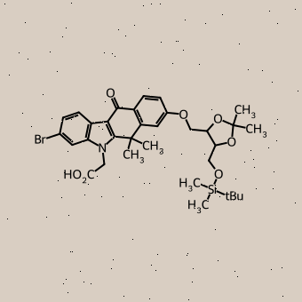 CC1(C)OC(COc2ccc3c(c2)C(C)(C)c2c(c4ccc(Br)cc4n2CC(=O)O)C3=O)C(CO[Si](C)(C)C(C)(C)C)O1